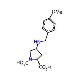 COc1ccc(CN[C@H]2C[C@@H](C(=O)O)N(C(=O)O)C2)cc1